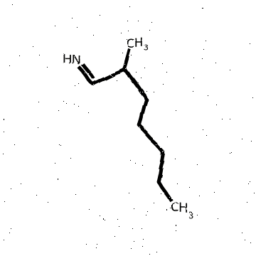 CCCCCC(C)C=N